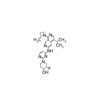 CC(C)c1cnc(N2CCC2C)c2cnc(Nc3ccnc(N4CC[C@H](O)[C@H](F)C4)n3)cc12